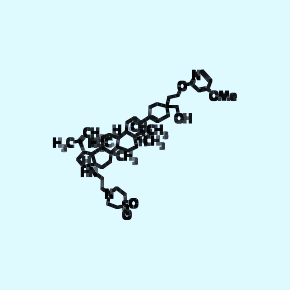 C=C(C)[C@@H]1CC[C@]2(NCCN3CCS(=O)(=O)CC3)CC[C@]3(C)[C@H](CC[C@@H]4[C@@]5(C)CC=C(C6=CCC(CO)(CCOc7cc(OC)ccn7)CC6)C(C)(C)[C@@H]5CC[C@]43C)[C@@H]12